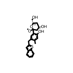 COC1(c2cc(Cc3cc4ccccc4s3)c(C)cc2O)C[C@@H](O)C[C@@H](CO)O1